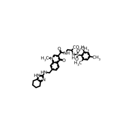 Cc1cc(C)c(S(=O)(=O)NC(CNC(=O)c2cn(C)c3cc(CNc4nc5c([nH]4)CCCC5)ccc3c2=O)C(=O)O)c(C)c1